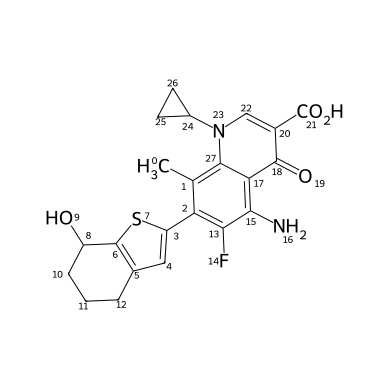 Cc1c(-c2cc3c(s2)C(O)CCC3)c(F)c(N)c2c(=O)c(C(=O)O)cn(C3CC3)c12